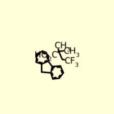 CC(C)(CC(F)(F)F)C(=O)O.c1ccc2c(c1)Cc1ccccc1-2